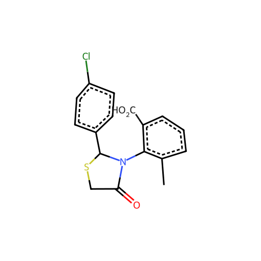 Cc1cccc(C(=O)O)c1N1C(=O)CSC1c1ccc(Cl)cc1